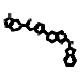 O=C(Cc1nnc(C2CCc3nc(NC4Cc5ccccc5C4)ncc3C2)o1)N1CCc2nn[nH]c2C1